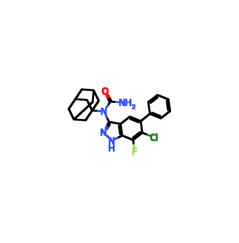 NC(=O)N(c1n[nH]c2c(F)c(Cl)c(-c3ccccc3)cc12)C12CC3CC(CC(C3)C1)C2